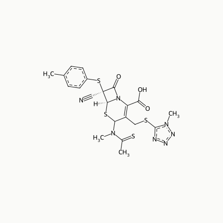 CC(=S)N(C)C1S[C@@H]2N(C(=O)[C@]2(C#N)Sc2ccc(C)cc2)C(C(=O)O)=C1CSc1nnnn1C